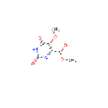 COC(=O)c1[nH]c(=O)[nH]c(=O)c1OC